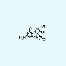 Cc1cc(N)nc(=O)n1[C@@H]1O[C@H](CO)[C@H](O)C1(O)C#CCl